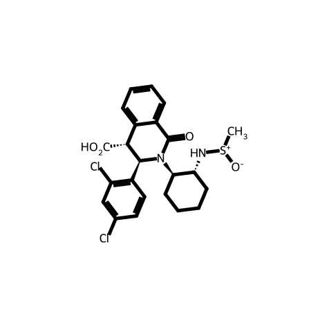 C[S+]([O-])N[C@@H]1CCCC[C@H]1N1C(=O)c2ccccc2[C@@H](C(=O)O)[C@@H]1c1ccc(Cl)cc1Cl